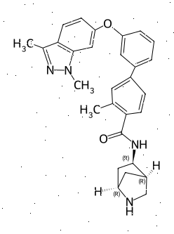 Cc1cc(-c2cccc(Oc3ccc4c(C)nn(C)c4c3)c2)ccc1C(=O)N[C@@H]1C[C@H]2C[C@@H]1CN2